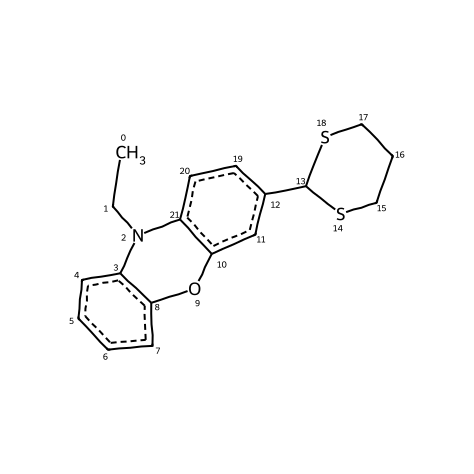 CCN1c2ccccc2Oc2cc(C3SCCCS3)ccc21